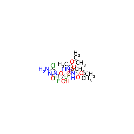 CC(C)OC(=O)[C@H](C)NP(=S)(N[C@@H](C)C(=O)OC(C)C)OC[C@@]1(C(F)F)O[C@@H](n2cc(Cl)c(N)nc2=O)C(F)(F)[C@@H]1O